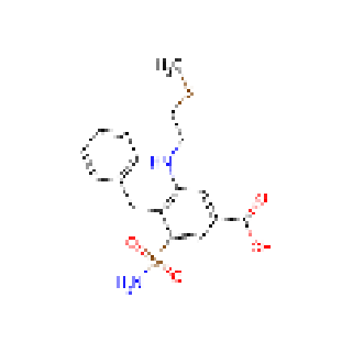 CSCCNc1cc(C(=O)O)cc(S(N)(=O)=O)c1Cc1ccccc1